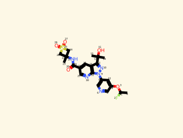 CC(F)Oc1cncc(-n2nc(C(C)(C)O)c3cc(C(=O)NC4(C)CS(=O)(=O)C4)cnc32)c1